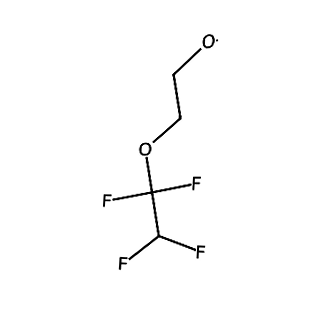 [O]CCOC(F)(F)C(F)F